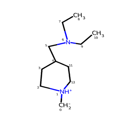 [CH2-][NH+]1CCC(CN(CC)CC)CC1